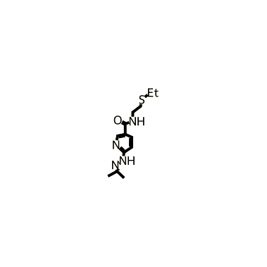 CCSCCNC(=O)c1ccc(NN=C(C)C)nc1